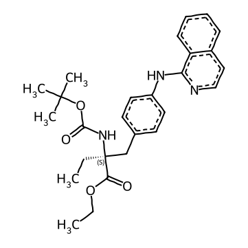 CCOC(=O)[C@](CC)(Cc1ccc(Nc2nccc3ccccc23)cc1)NC(=O)OC(C)(C)C